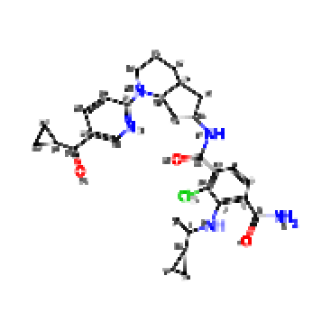 CC(Nc1c(C(N)=O)ccc(C(=O)NC2CC3CCCN(c4ccc(C(=O)C5CC5)cn4)C3C2)c1Cl)C1CC1